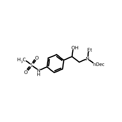 CCCCCCCCCCN(CC)CC(O)c1ccc(NS(C)(=O)=O)cc1